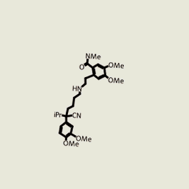 CNC(=O)c1cc(OC)c(OC)cc1CCNCCCCC(C#N)(c1ccc(OC)c(OC)c1)C(C)C